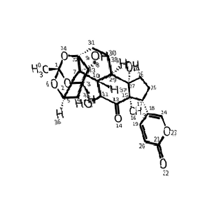 C[C@@]12O[C@H]3C[C@@H](O1)[C@]1(CO)[C@H]4C(O)C(=O)[C@]5(C)[C@@H](c6ccc(=O)oc6)CC[C@]5(O)[C@@H]4CC[C@@]1(C3)O2